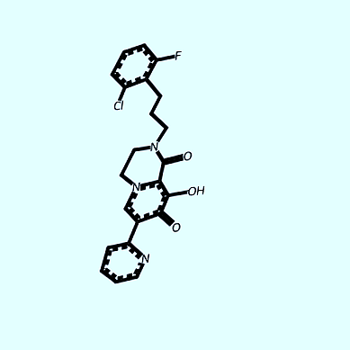 O=C1c2c(O)c(=O)c(-c3ccccn3)cn2CCN1CCCc1c(F)cccc1Cl